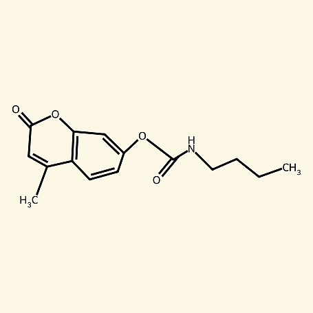 CCCCNC(=O)Oc1ccc2c(C)cc(=O)oc2c1